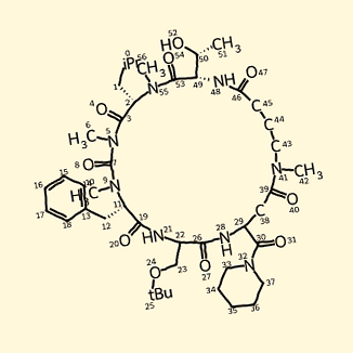 CC(C)C[C@H]1C(=O)N(C)C(=O)N(C)[C@@H](Cc2ccccc2)C(=O)NC(COC(C)(C)C)C(=O)NC(C(=O)N2CCCCC2)CC(=O)N(C)CCCC(=O)N[C@@H]([C@@H](C)O)C(=O)N1C